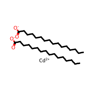 CCCCCCCCCCCCCCCC(=O)[O-].CCCCCCCCCCCCCCCC(=O)[O-].[Cd+2]